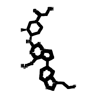 COc1nc(N[C@H]2CCN(C(=O)CO)C[C@H]2F)nn2ccc(-c3ccc4ncn(CCF)c4c3)c12